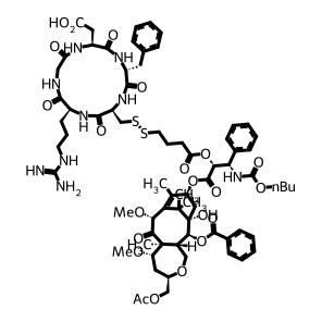 CCCCOC(=O)N[C@@H](c1ccccc1)[C@@H](OC(=O)CCCSSC[C@@H]1NC(=O)[C@@H](Cc2ccccc2)NC(=O)[C@H](CC(=O)O)NC(=O)CNC(=O)[C@H](CCCNC(=N)N)NC1=O)C(=O)O[C@H]1C[C@@]2(O)[C@@H](OC(=O)c3ccccc3)[C@@H]3CO[C@@H](COC(C)=O)C[C@H](OC)[C@@]3(C)C(=O)[C@H](OC)C(=C1C)C2(C)C